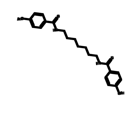 CC(=O)Oc1ccc(C(=O)NCCCCCCCNC(=O)c2ccc(OC(C)=O)cc2)cc1